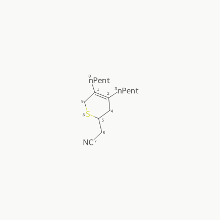 CCCCCC1=C(CCCCC)CC(CC#N)SC1